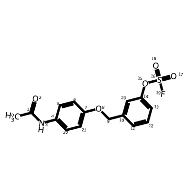 CC(=O)Nc1ccc(OCc2cccc(OS(=O)(=O)F)c2)cc1